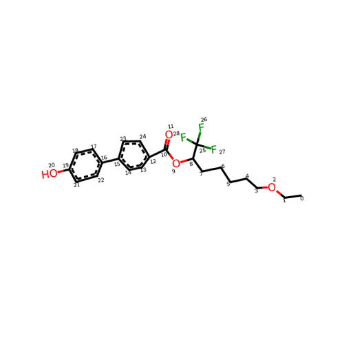 CCOCCCCCC(OC(=O)c1ccc(-c2ccc(O)cc2)cc1)C(F)(F)F